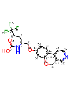 O=C(O)NC(CCC(F)(F)F)COc1ccc2c(c1)OCc1cnccc1-2